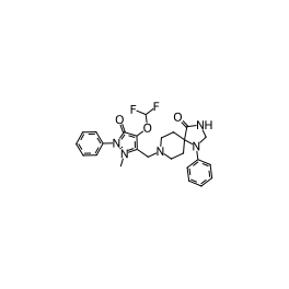 Cn1c(CN2CCC3(CC2)C(=O)NCN3c2ccccc2)c(OC(F)F)c(=O)n1-c1ccccc1